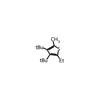 CCc1sc(C)c(C(C)(C)C)c1C(C)(C)C